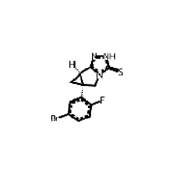 Fc1ccc(Br)cc1[C@]12C[C@H]1c1n[nH]c(=S)n1C2